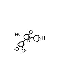 COc1ccc(C2=NN(C3CCNCC3)C(=O)CC2)cc1OC.Cl